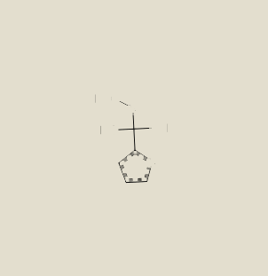 CSC(C)(C)c1cccs1